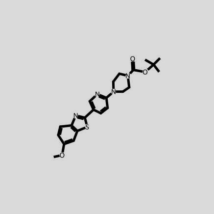 COc1ccc2nc(-c3ccc(N4CCN(C(=O)OC(C)(C)C)CC4)nc3)sc2c1